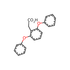 O=C(O)Cc1c(Oc2ccccc2)cccc1Oc1ccccc1